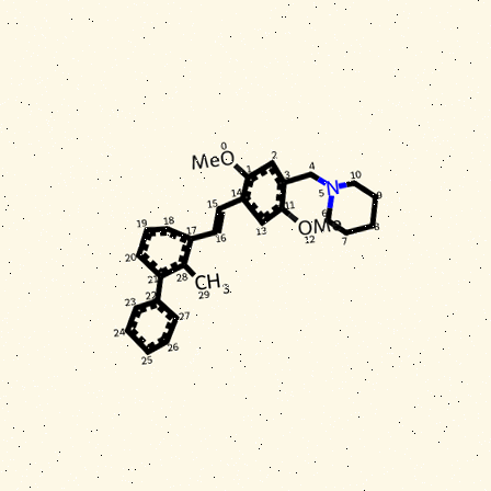 COc1cc(CN2CCCCC2)c(OC)cc1/C=C/c1cccc(-c2ccccc2)c1C